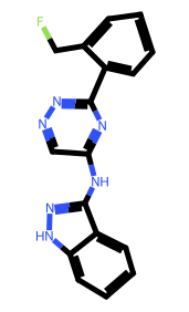 FCc1ccccc1-c1nncc(Nc2n[nH]c3ccccc23)n1